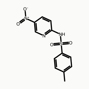 Cc1ccc(S(=O)(=O)Nc2ccc([N+](=O)[O-])cn2)cc1